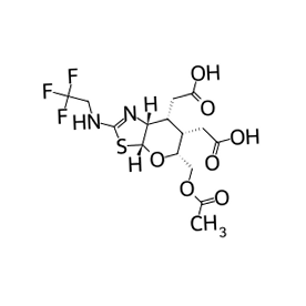 CC(=O)OC[C@@H]1O[C@@H]2SC(NCC(F)(F)F)=N[C@@H]2[C@H](CC(=O)O)[C@@H]1CC(=O)O